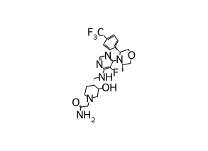 C[C@@H]1COC[C@H](c2ccc(C(F)(F)F)cc2)N1c1ncnc(NC[C@H]2CCN(CC(N)=O)C[C@@H]2O)c1F